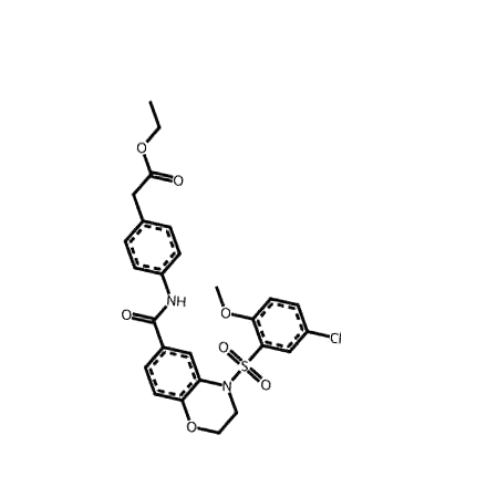 CCOC(=O)Cc1ccc(NC(=O)c2ccc3c(c2)N(S(=O)(=O)c2cc(Cl)ccc2OC)CCO3)cc1